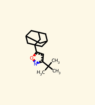 CC(C)(C)c1cc(C23CC4CC(CC(C4)C2)C3)on1